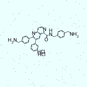 Cl.Cl.NCc1ccc(CNC(=O)c2nccc3nc(-c4ccc(CN)cc4)c(-c4ccccc4)cc23)cc1